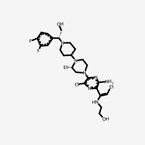 CC/C=C(/NCCO)c1nc(Cl)c(N2CCN(C3CCN([C@@H](CO)c4ccc(F)c(F)c4)CC3)[C@@H](CC)C2)nc1N